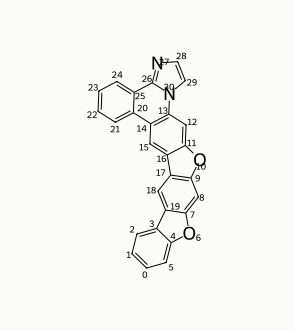 c1ccc2c(c1)oc1cc3oc4cc5c(cc4c3cc12)c1ccccc1c1nccn51